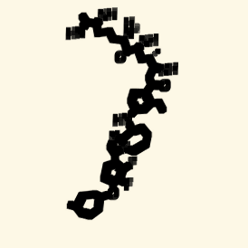 CCc1cc(NC2=CCC=Cn3c(-c4ccc(OC5=CC=CC(C)=CC5)c(F)c4F)cnc32)ccc1C(=O)CC(=N)[C@@H](C)CC(=N)C(=O)[C@@H](N)CCCC(=N)C(C)=N